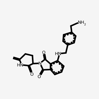 C=C1CCC(N2C(=O)c3cccc(NCc4ccc(CN)cc4)c3C2=O)C(=O)N1